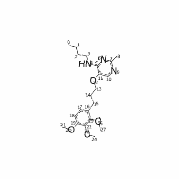 CCCCNc1nc(C)ncc1OCCCc1ccc(OC)c(OC)c1OC